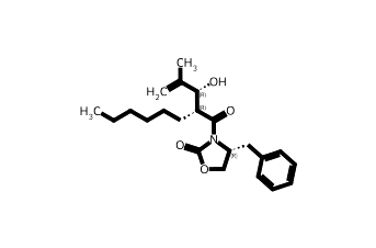 C=C(C)[C@H](O)[C@@H](CCCCCC)C(=O)N1C(=O)OC[C@H]1Cc1ccccc1